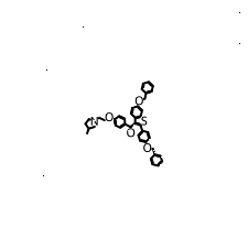 CC1CCN(CCOc2ccc(C(=O)c3c(-c4ccc(OCc5ccccc5)cc4)sc4cc(OCc5ccccc5)ccc34)cc2)C1